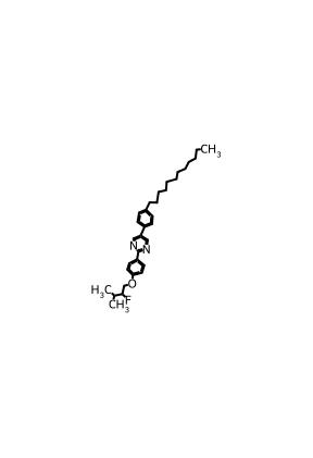 CCCCCCCCCCCCc1ccc(-c2cnc(-c3ccc(OCC(F)C(C)C)cc3)nc2)cc1